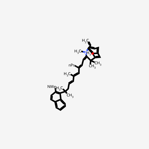 C=C/C=C\C1=C/C=C/N(C)/C(=C/C=C(/C=C(C)/C=C/CC(C)(C)c2c(NC)ccc3ccccc23)CCC)C(C)(C)/C(C)=C/1